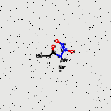 CCCN(C(=O)CC(C)(C)C)/[N+]([O-])=N\[O-].[Na+]